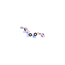 CC(C)(C)c1cc(NC(=O)Nc2ccc(-n3cnc4cc(OCCN5CCOCC5)ccc43)cc2)no1